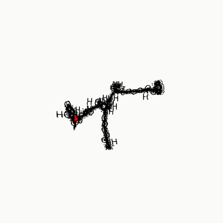 CCCC1O[C@@H]2CC3[C@@H]4CCC5=CC(=O)C=C[C@]5(C)C4[C@@H](O)C[C@]3(C)[C@]2(C(=O)CNC(=O)OCc2ccc(NC(=O)CCCCN(C(N)=O)C3CC/C(NCCOCCOCCOCCOCCC(=O)NCC[N+](C)(C)C)=C(/N=N)C(OCC(=O)NCCCC[C@@H](NC(=O)CCOCCOCCOCCOCCNC(=O)CCC(=O)N4Cc5ccccc5C#Cc5ccccc54)C(=O)N[C@H](C(N)=O)C(C)C)CC3)cc2)O1